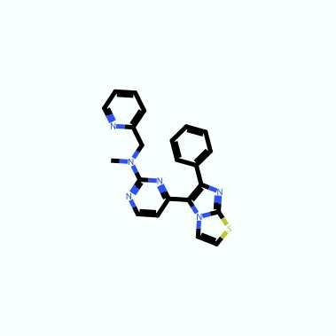 CN(Cc1ccccn1)c1nccc(-c2c(-c3ccccc3)nc3sccn23)n1